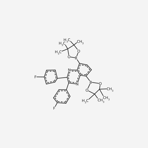 CC1(C)OB(c2ccc(B3OC(C)(C)C(C)(C)O3)c3nc(-c4ccc(F)cc4)c(-c4ccc(F)cc4)nc23)OC1(C)C